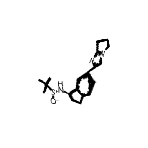 CC(C)(C)[S+]([O-])N[C@@H]1CCc2ccc(-c3cn4c(n3)CCC4)cc21